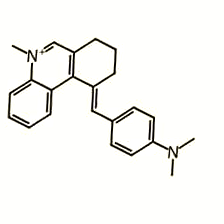 CN(C)c1ccc(C=C2CCCc3c[n+](C)c4ccccc4c32)cc1